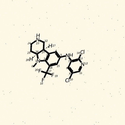 CN1c2c(cc(Nc3cc(Cl)cnc3Cl)cc2C(F)(F)F)[C@@H]2CNCC[C@@H]21